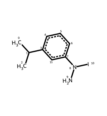 CC(C)c1cccc(N(N)I)c1